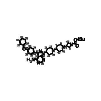 CC(C)(C)OC(=O)N1CC(N2CCC(N3CCC(n4nc(-c5ccc(Oc6ccccc6)cc5)c5c(N)ncnc54)CC3)CC2)C1